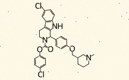 CN1CCCC(COc2ccc(C3c4[nH]c5ccc(Cl)cc5c4CCN3C(=O)Oc3ccc(Cl)cc3)cc2)C1